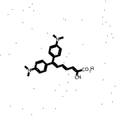 CN(C)c1ccc(C(=C/C=C/C=C(\C#N)C(=O)O)c2ccc(N(C)C)cc2)cc1